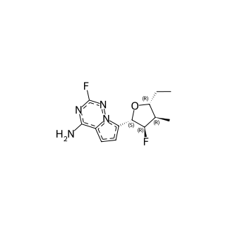 CC[C@H]1O[C@@H](c2ccc3c(N)nc(F)nn23)[C@H](F)[C@@H]1C